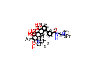 CC(=O)C1=C(O)[C@@H](N(C)C)[C@@H]2C[C@@H]3Cc4c(-c5cccc(C(=O)NCCN(C(C)C)C(C)C)c5)ccc(O)c4C(=O)C3=C(O)[C@]2(O)C1=O